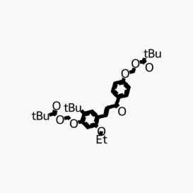 CCOc1cc(OCOC(=O)C(C)(C)C)c(C(C)(C)C)cc1C=CC(=O)c1ccc(OCOC(=O)C(C)(C)C)cc1